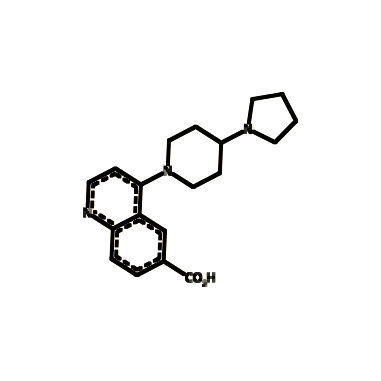 O=C(O)c1ccc2nccc(N3CCC(N4CCCC4)CC3)c2c1